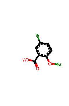 O=C(O)c1cc(Br)ccc1OBr